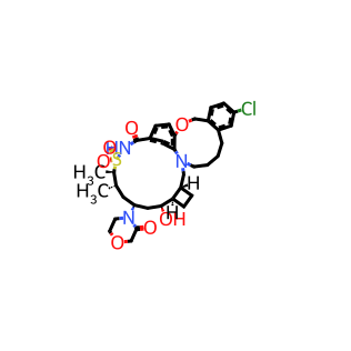 C[C@@H]1[C@@H](C)C[C@H](N2CCOCC2=O)C[C@H](O)[C@@H]2CC[C@H]2CN2CCCCc3cc(Cl)ccc3COc3ccc(cc32)C(=O)NS1(=O)=O